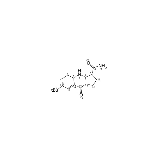 CC(C)(C)C1=CCC2NC3C(C(N)=O)CCC3C(=O)C2=C1